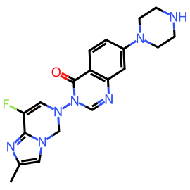 Cc1cn2c(n1)C(F)=CN(n1cnc3cc(N4CCNCC4)ccc3c1=O)C2